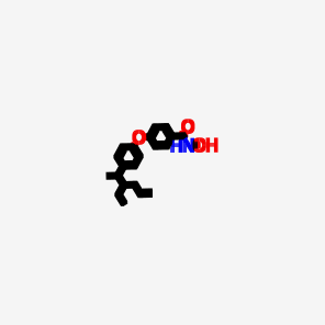 C=CCC(CC)C(C)c1ccc(Oc2ccc(C(=O)NO)cc2)cc1